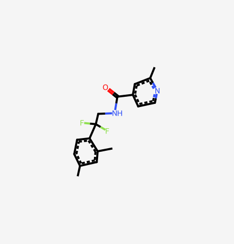 Cc1ccc(C(F)(F)CNC(=O)c2ccnc(C)c2)c(C)c1